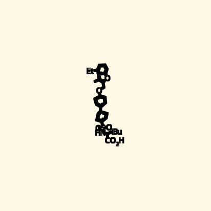 CCc1cccc2oc(COc3ccc(-c4ccc(S(=O)(=O)NC(C(=O)O)C(C)CC)cc4)cc3)c(C)c12